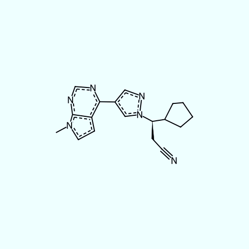 Cn1ccc2c(-c3cnn([C@H](CC#N)C4CCCC4)c3)ncnc21